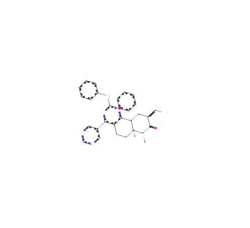 C[C@@H]1C(=O)C(=CO)C[C@]2(c3ccccc3)c3nc(Nc4ccccc4)nc(-c4cncnc4)c3CC[C@@H]12